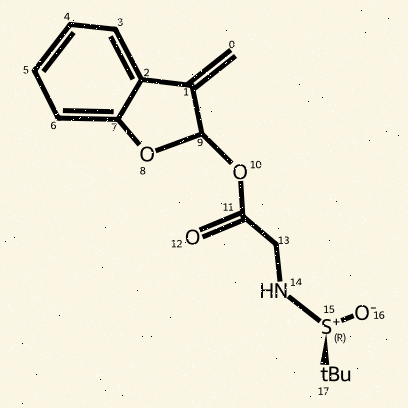 C=C1c2ccccc2OC1OC(=O)CN[S@@+]([O-])C(C)(C)C